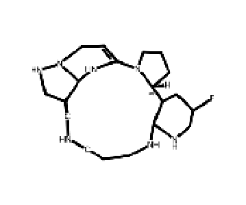 FC1CNC2NCCCNCC3CNN4CC=C(NC34)N3CCC[C@@H]3C2C1